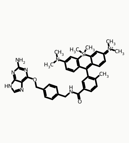 Cc1ccc(C(=O)NCc2ccc(COc3nc(N)nc4[nH]cnc34)cc2)cc1C1=C2C=CC(=[N+](C)C)C=C2[Si](C)(C)c2cc(N(C)C)ccc21